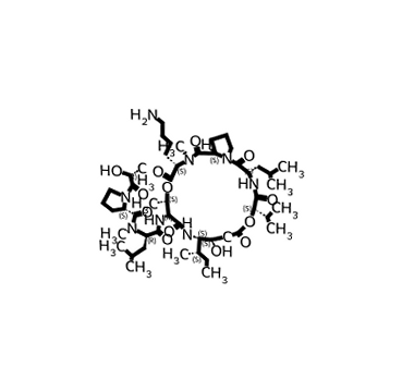 CC[C@H](C)[C@@H]1NC(=O)[C@H](NC(=O)[C@@H](CC(C)C)N(C)C(=O)[C@@H]2CCCN2C(=O)[C@@H](C)O)[C@H](C)OC(=O)[C@H](CCCCN)N(C)C(=O)[C@@H]2CCCN2C(=O)[C@H](CC(C)C)NC(=O)[C@H](C(C)C)OC(=O)C[C@@H]1O